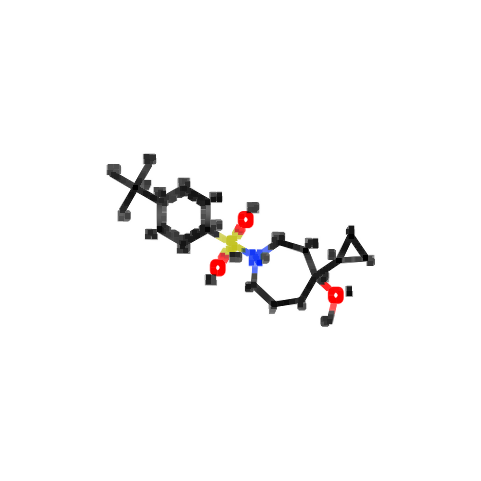 COC1(C2CC2)CCCN(S(=O)(=O)c2ccc(C(C)(C)C)cc2)CC1